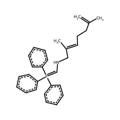 C=C(C)CC/C=C(\C)CNC=P(c1ccccc1)(c1ccccc1)c1ccccc1